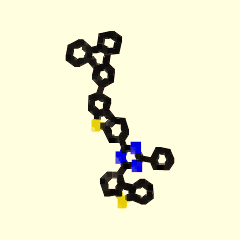 c1ccc(-c2nc(-c3ccc4c(c3)sc3ccc(-c5ccc6c7ccccc7c7ccccc7c6c5)cc34)nc(-c3cccc4sc5ccccc5c34)n2)cc1